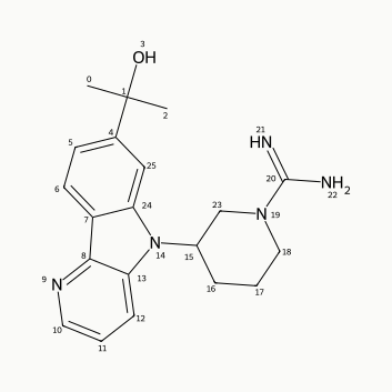 CC(C)(O)c1ccc2c3ncccc3n(C3CCCN(C(=N)N)C3)c2c1